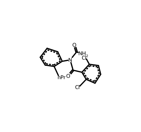 CCCc1ccccc1N(C(N)=O)C(=O)c1c(Cl)cccc1Cl